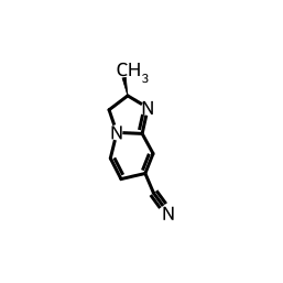 C[C@@H]1CN2C=CC(C#N)=CC2=N1